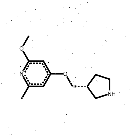 COc1cc(OC[C@@H]2CCNC2)cc(C)n1